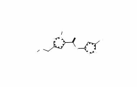 COCc1cc(C(=O)Nc2cc(C)n[nH]2)n(C)n1